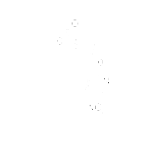 CS(=O)(=O)c1ccc(Oc2ccc([N+](=O)[O-])cn2)cc1